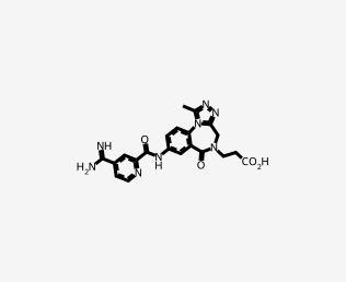 Cc1nnc2n1-c1ccc(NC(=O)c3cc(C(=N)N)ccn3)cc1C(=O)N(CCC(=O)O)C2